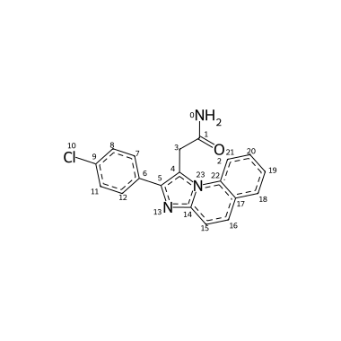 NC(=O)Cc1c(-c2ccc(Cl)cc2)nc2ccc3ccccc3n12